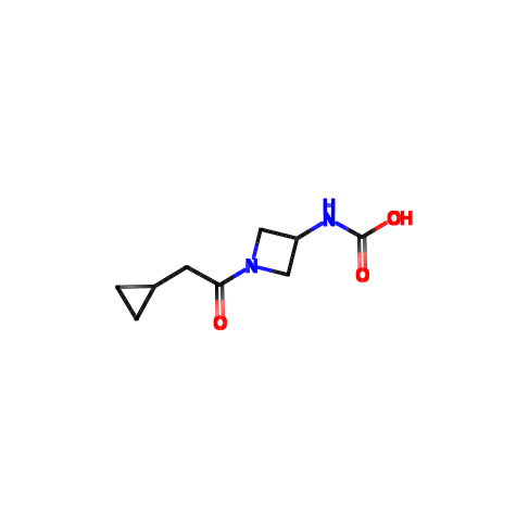 O=C(O)NC1CN(C(=O)CC2CC2)C1